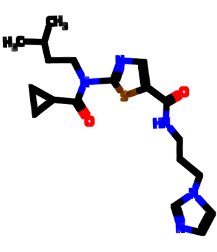 CC(C)CCN(C(=O)C1CC1)c1ncc(C(=O)NCCCn2ccnc2)s1